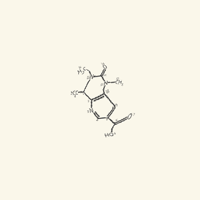 CC1c2ncc(C(=O)O)cc2N(C)C(=O)N1C